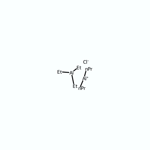 CC[CH2][Al+][CH2]CC.C[CH2][Al]([CH2]C)[CH2]C.[Cl-]